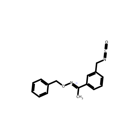 C/C(=N\OCc1ccccc1)c1cccc(CN=C=O)c1